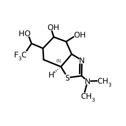 CN(C)C1=NC2C(O)C(O)C(C(O)C(F)(F)F)C[C@@H]2S1